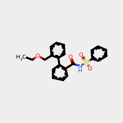 CCOCc1ccccc1-c1ccccc1C(=O)NS(=O)(=O)c1ccccc1